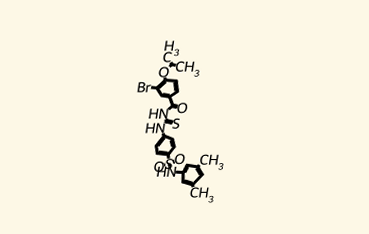 Cc1cc(C)cc(NS(=O)(=O)c2ccc(NC(=S)NC(=O)c3ccc(OC(C)C)c(Br)c3)cc2)c1